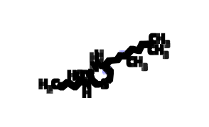 C=CCCC(=O)NC1CSC/C=C(/CC/C=C(\C)CCC=C(C)C)NNC1=C